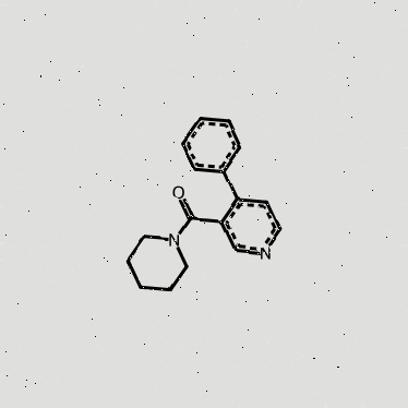 O=C(c1cnccc1-c1ccccc1)N1CCCCC1